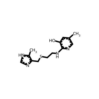 Cc1cnc(NCCSCc2nc[nH]c2C)c(O)c1